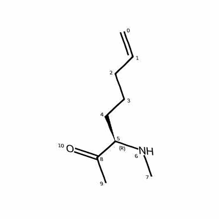 C=CCCC[C@@H](NC)C(C)=O